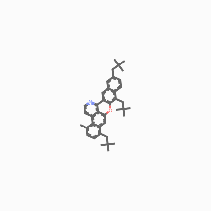 Cc1ccc(CC(C)(C)C)c2cc3c4c(nccc4c12)-c1cc2cc(CC(C)(C)C)ccc2c(CC(C)(C)C)c1O3